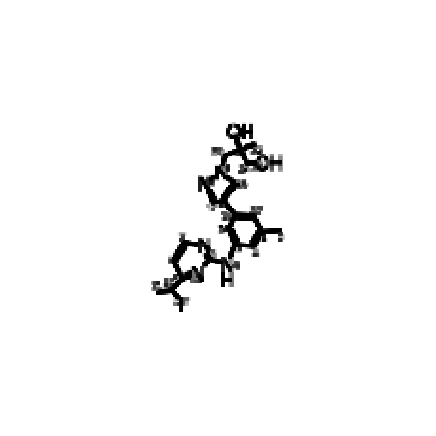 Cc1cc(Nc2nccc(C(C)F)n2)cc(-c2cnn(CC(C)(O)CO)c2)c1